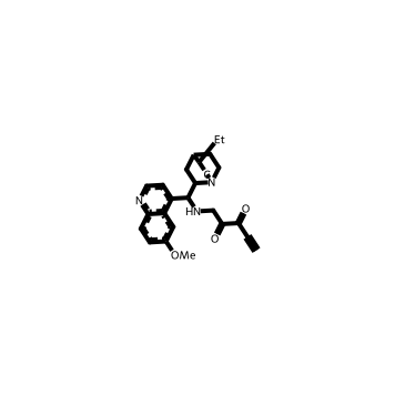 C#CC(=O)C(=O)CNC(c1ccnc2ccc(OC)cc12)C1CC2CCN1CC2CC